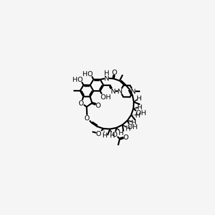 CO[C@H]1/C=C\O[C@@]2(C)Oc3c(C)c(O)c4c(O)c(c(/C=N/N5CCN(C)CC5)c(O)c4c3C2=O)NC(=O)/C(C)=C\C=C/[C@H](C)[C@H](O)[C@@H](C)[C@H](O)[C@H](C)[C@H](OC(C)=O)[C@@H]1C